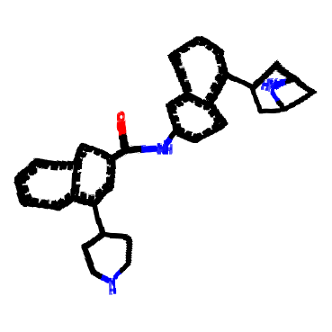 O=C(Nc1ccc2c(C3CC4CC(C3)N4)cccc2c1)c1cc(C2CCNCC2)c2ccccc2c1